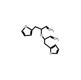 C=CC(Cc1ccco1)OC(C=C)Cc1ccco1